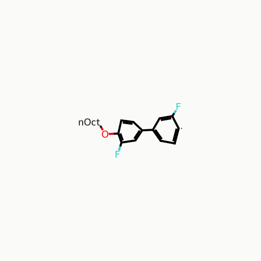 CCCCCCCCOc1ccc(-c2cc[c]c(F)c2)cc1F